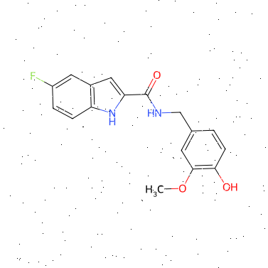 COc1cc(CNC(=O)c2cc3cc(F)ccc3[nH]2)ccc1O